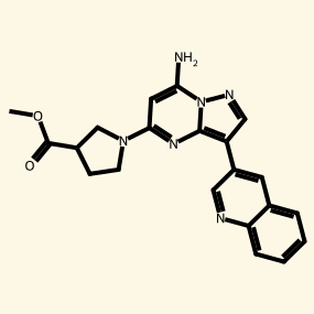 COC(=O)C1CCN(c2cc(N)n3ncc(-c4cnc5ccccc5c4)c3n2)C1